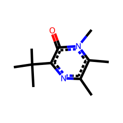 Cc1nc(C(C)(C)C)c(=O)n(C)c1C